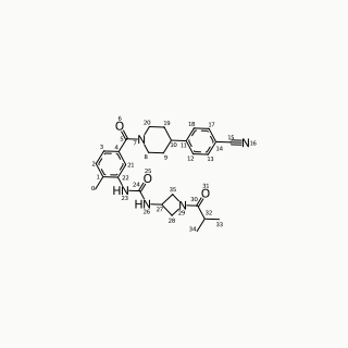 Cc1ccc(C(=O)N2CCC(c3ccc(C#N)cc3)CC2)cc1NC(=O)NC1CN(C(=O)C(C)C)C1